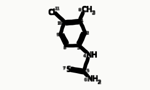 Cc1cc(NC(N)=S)ccc1Cl